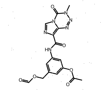 CC(=O)Oc1cc(COC=O)cc(NC(=O)c2ncn3c(=O)n(C)nnc23)c1